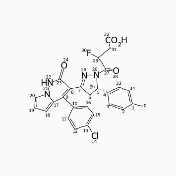 Cc1ccc([C@@H]2CC(c3c(-c4ccc(Cl)cc4)c4cccn4[nH]c3=O)=NN2C(=O)C(F)CC(=O)O)cc1